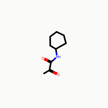 CC(=O)C(=O)NC1CCCCC1